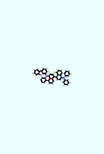 c1ccc(-c2ccccc2N(c2ccc3c(c2)Sc2cccc4c(N(c5ccccc5)c5ccccc5)ccc-3c24)c2cccc3c2oc2ccccc23)cc1